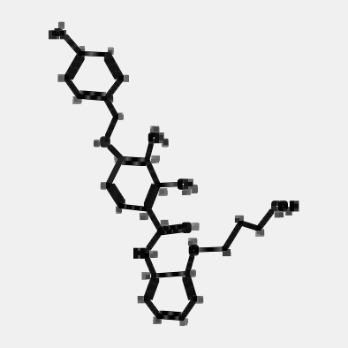 CCCc1ccc(COc2ccc(C(=O)Nc3ccccc3OCCCC(=O)O)c(C)c2C)cc1